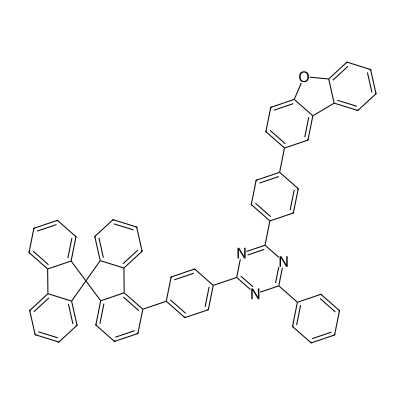 c1ccc(-c2nc(-c3ccc(-c4ccc5oc6ccccc6c5c4)cc3)nc(-c3ccc(-c4cccc5c4-c4ccccc4C54c5ccccc5-c5ccccc54)cc3)n2)cc1